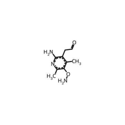 Cc1nc(N)c(CC=O)c(C)c1ON